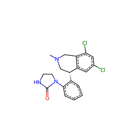 CN1Cc2c(Cl)cc(Cl)cc2[C@H](c2ccccc2N2CCNC2=O)C1